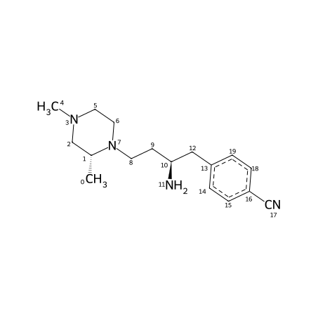 C[C@@H]1CN(C)CCN1CC[C@H](N)Cc1ccc(C#N)cc1